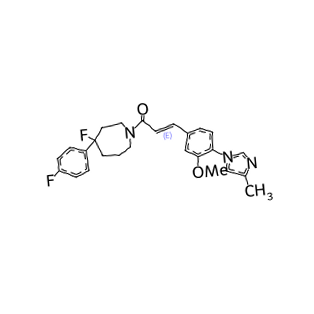 COc1cc(/C=C/C(=O)N2CCCC(F)(c3ccc(F)cc3)CC2)ccc1-n1cnc(C)c1